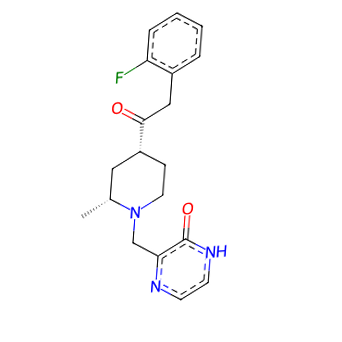 C[C@@H]1C[C@H](C(=O)Cc2ccccc2F)CCN1Cc1ncc[nH]c1=O